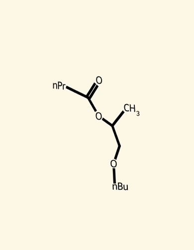 CCCCOCC(C)OC(=O)CCC